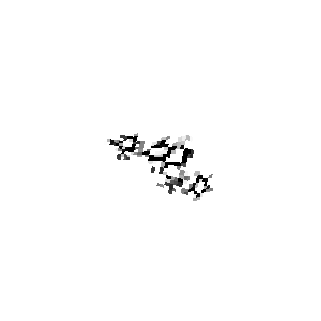 C[C@@H](Nc1cc(=O)n(C)c2ccc(Nc3ccnc(Cl)c3C#N)cc12)C(=O)NC1CCCC1